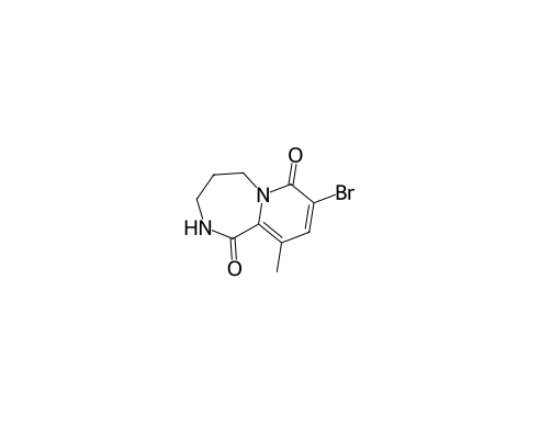 Cc1cc(Br)c(=O)n2c1C(=O)NCCC2